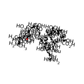 CC[C@H](C)[C@H](NC(=O)[C@H](CCCNC(=N)N)NC(=O)[C@H](CO)NC(=O)[C@@H]1CCCN1C(=O)[C@H](CC(=O)O)NC(=O)CNC(=O)[C@@H](NC(=O)[C@H](CC(=O)O)NC(=O)[C@H](CC(C)C)NC(=O)[C@@H](NC(=O)[C@H](CO)NC(=O)[C@H](C)NC(=O)[C@H](C)N)[C@@H](C)O)[C@@H](C)O)C(=O)N[C@@H](CO)C(=O)NCC(=O)N[C@@H](CO)C(=O)N[C@H](C(=O)N[C@@H](CO)C(=O)NCC(=O)N[C@@H](CO)C(=O)O)[C@@H](C)O